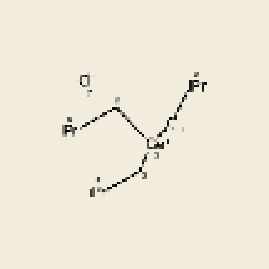 CC(C)[CH2][Ge+]([CH2]C(C)C)[CH2]C(C)C.[Cl-]